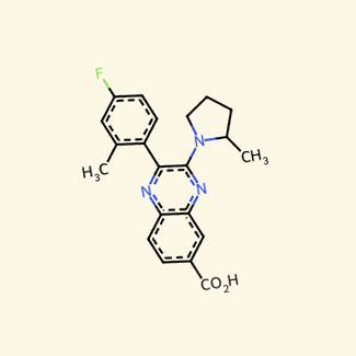 Cc1cc(F)ccc1-c1nc2ccc(C(=O)O)cc2nc1N1CCCC1C